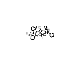 CN1C(=CC2C(O)C(c3c(C(F)(F)F)nn(-c4ccccc4)c3O)C2O)C(C)(c2ccccc2)c2ccccc21